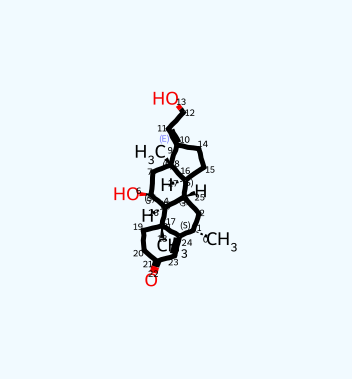 C[C@H]1C[C@@H]2[C@H]([C@@H](O)C[C@]3(C)/C(=C/CO)CC[C@@H]23)[C@@]2(C)CCC(=O)C=C12